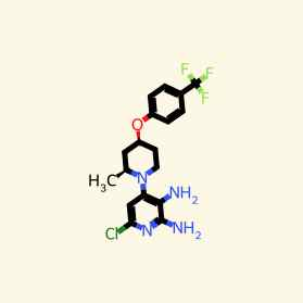 C[C@H]1C[C@@H](Oc2ccc(C(F)(F)F)cc2)CCN1c1cc(Cl)nc(N)c1N